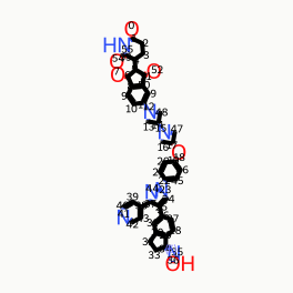 O=C1CCC(C2C(=O)c3ccc(N4CC(N5CC(Oc6ccc(-n7cc(-c8ccc9c(c8)CC/C9=N\O)c(-c8ccncc8)n7)cc6)C5)C4)cc3C2=O)C(=O)N1